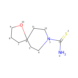 NC(=S)N1CCC2(CCCO2)CC1